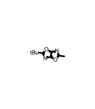 Cc1nc2oc(C(C)(C)C)nc2o1